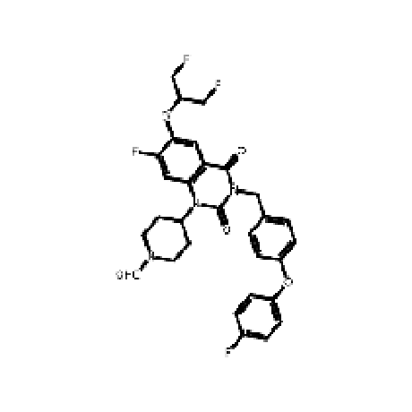 O=CN1CCC(n2c(=O)n(Cc3ccc(Oc4ccc(F)cc4)cc3)c(=O)c3cc(OC(CF)CF)c(F)cc32)CC1